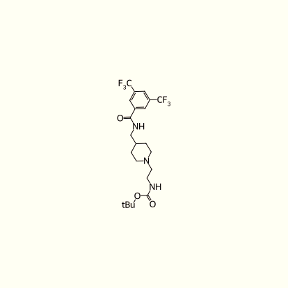 CC(C)(C)OC(=O)NCCN1CCC(CNC(=O)c2cc(C(F)(F)F)cc(C(F)(F)F)c2)CC1